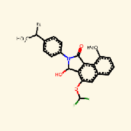 CCC(C(=O)O)c1ccc(N2C(=O)c3c(c(OC(F)F)cc4cccc(OC)c34)C2O)cc1